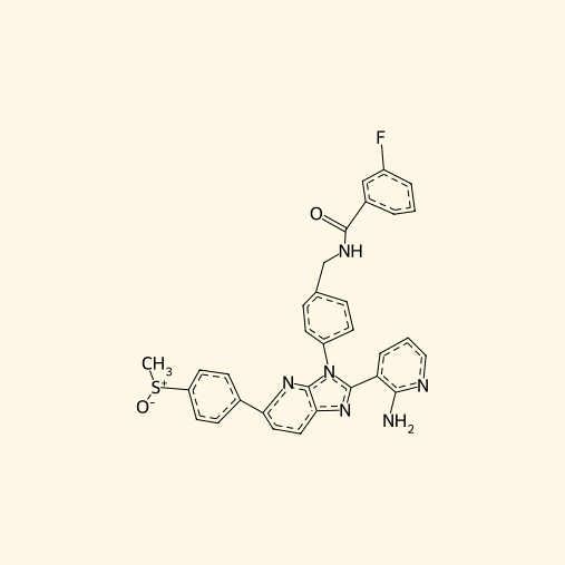 C[S+]([O-])c1ccc(-c2ccc3nc(-c4cccnc4N)n(-c4ccc(CNC(=O)c5cccc(F)c5)cc4)c3n2)cc1